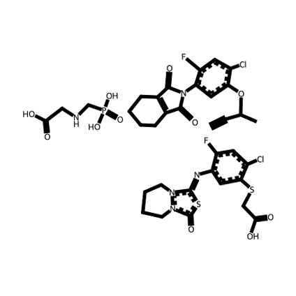 C#CC(C)Oc1cc(N2C(=O)C3=C(CCCC3)C2=O)c(F)cc1Cl.O=C(O)CNCP(=O)(O)O.O=C(O)CSc1cc(N=c2sc(=O)n3n2CCCC3)c(F)cc1Cl